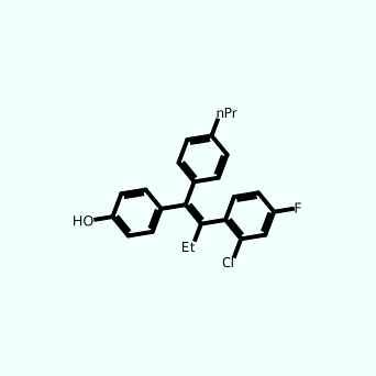 CCCc1ccc(/C(=C(/CC)c2ccc(F)cc2Cl)c2ccc(O)cc2)cc1